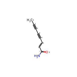 CC#CC#CC=CC(N)=O